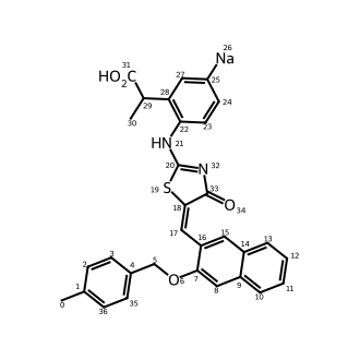 Cc1ccc(COc2cc3ccccc3cc2C=C2SC(Nc3cc[c]([Na])cc3C(C)C(=O)O)=NC2=O)cc1